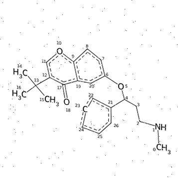 CNCCC(Oc1ccc2occ(C(C)(C)C)c(=O)c2c1)c1ccccc1